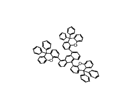 c1ccc(C2(c3ccccc3)c3ccccc3Oc3c(-c4cccc5c(-c6cccc7c6Oc6ccccc6C7(c6ccccc6)c6ccccc6)c6cccc(-c7cccc8c7Oc7ccccc7C8(c7ccccc7)c7ccccc7)c6cc45)cccc32)cc1